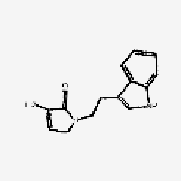 O=C1C(O)=CCN1CCc1c[nH]c2ccccc12